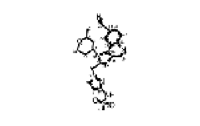 CC1CC(n2c(Cn3ccc(NS(C)(=O)=O)n3)nc3cnc4ccc(C#N)cc4c32)CCO1